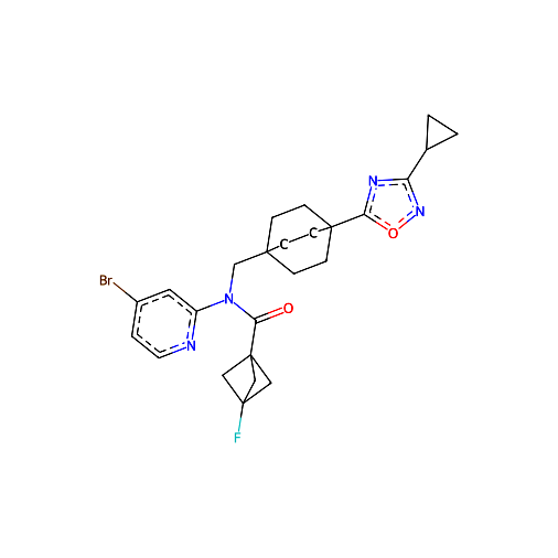 O=C(N(CC12CCC(c3nc(C4CC4)no3)(CC1)CC2)c1cc(Br)ccn1)C12CC(F)(C1)C2